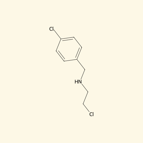 ClCCNCc1ccc(Cl)cc1